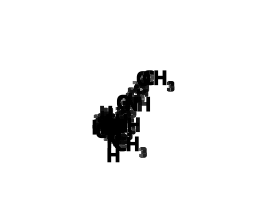 COc1ccc2c(c1)CCC(NC(=O)c1ccc(NC(=N[C@H]3C[C@@H]4C[C@@H]([C@H]3C)C4(C)C)N3CCN[C@@H](C)C3)cc1)C2